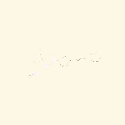 CN(C(=O)N(CCNC=O)C(C)(C)CC=O)c1ccc(C#Cc2ccccc2)cc1F